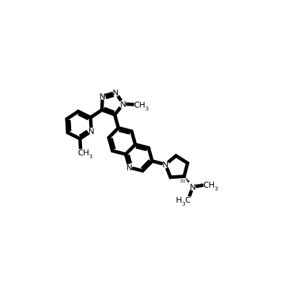 Cc1cccc(-c2nnn(C)c2-c2ccc3ncc(N4CC[C@H](N(C)C)C4)cc3c2)n1